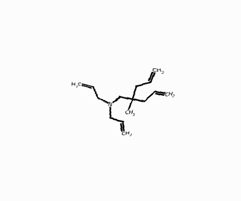 C=CCN(CC=C)CC(C)(CC=C)CC=C